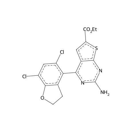 CCOC(=O)c1cc2c(-c3c(Cl)cc(Cl)c4c3CCO4)nc(N)nc2s1